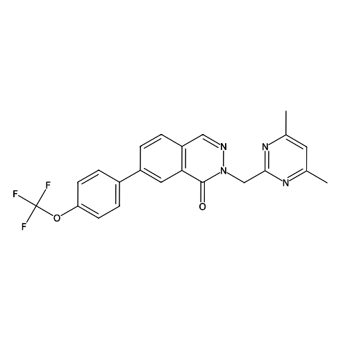 Cc1cc(C)nc(Cn2ncc3ccc(-c4ccc(OC(F)(F)F)cc4)cc3c2=O)n1